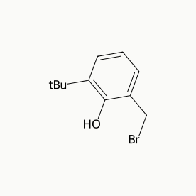 CC(C)(C)c1cccc(CBr)c1O